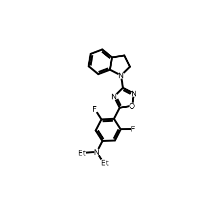 CCN(CC)c1cc(F)c(-c2nc(N3CCc4ccccc43)no2)c(F)c1